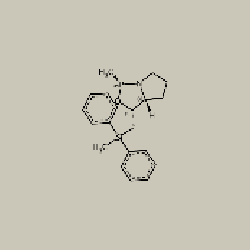 C[P@]1O[C@@H](C[Si](C)(c2ccccc2)c2ccccc2)[C@H]2CCCN21